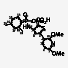 COc1ccc(-c2cc(NP(=O)(OC)c3ccc(C)cc3C)c(C(=O)O)s2)c(OC)n1